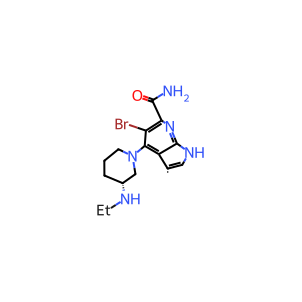 CCN[C@@H]1CCCN(c2c(Br)c(C(N)=O)nc3[nH]c[c]c23)C1